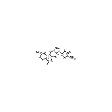 C=NCC(/C=N\CN)c1cnn2ccc(CN(C)c3ccc(C#N)cc3)cc12